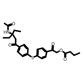 CCCC(=O)OCC(=O)c1ccc(Sc2ccc(C(=O)CC(CC)(CC)NC(C)=O)cc2)cc1